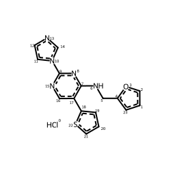 Cl.c1coc(CNc2nc(-n3ccnc3)ncc2-c2cccs2)c1